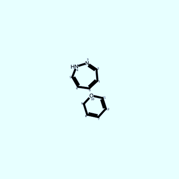 C1=CC=NNC=C1.C1=CCOC=C1